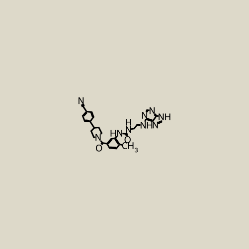 Cc1ccc(C(=O)N2CCC(c3ccc(C#N)cc3)CC2)cc1NC(=O)NCCNc1ncnc2[nH]cnc12